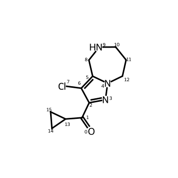 O=C(c1nn2c(c1Cl)CNCCC2)C1CC1